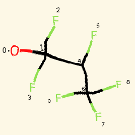 [O]C(F)(F)C(F)C(F)(F)F